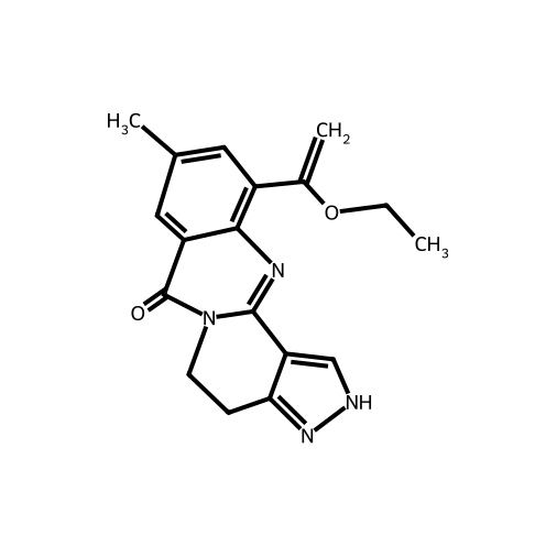 C=C(OCC)c1cc(C)cc2c(=O)n3c(nc12)-c1c[nH]nc1CC3